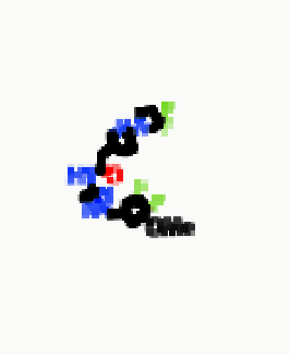 COc1cc(Cn2ncc(NC(=O)Cc3ccc(N4CCC(F)(F)C4)nc3)n2)cc(F)c1F